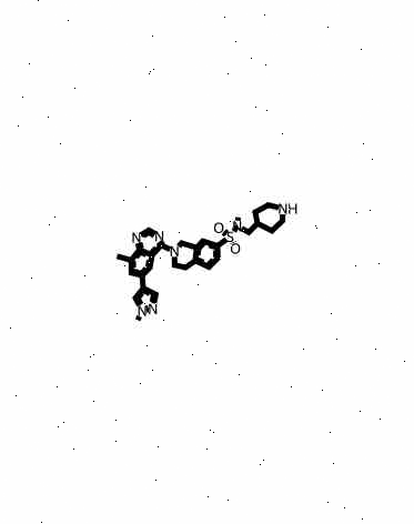 Cc1cc(-c2cnn(C)c2)cc2c(N3CCc4ccc(S(=O)(=O)N(C)CC5CCNCC5)cc4C3)ncnc12